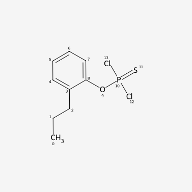 CCCc1ccccc1OP(=S)(Cl)Cl